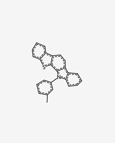 Cc1cccc(-n2c3ccccc3c3ccc4c5ccccc5sc4c32)c1